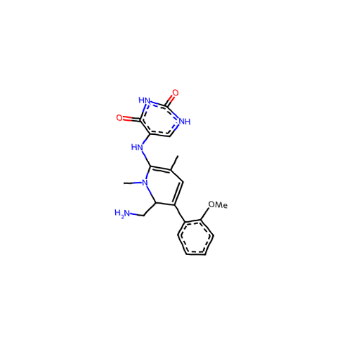 COc1ccccc1C1=CC(C)=C(Nc2c[nH]c(=O)[nH]c2=O)N(C)C1CN